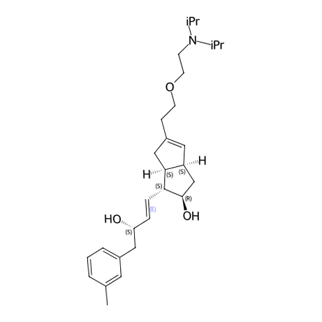 Cc1cccc(C[C@H](O)/C=C/[C@@H]2[C@H]3CC(CCOCCN(C(C)C)C(C)C)=C[C@H]3C[C@H]2O)c1